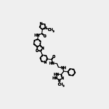 CN1N=C(C(NCCNC(=O)c2cc(-c3nc4cc(NC(=O)c5cncn5C)ccc4o3)ccn2)c2ccccc2)NN1